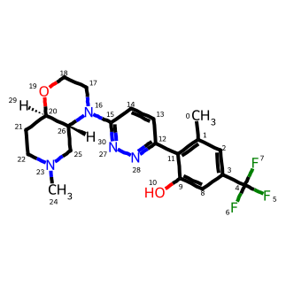 Cc1cc(C(F)(F)F)cc(O)c1-c1ccc(N2CCO[C@@H]3CCN(C)C[C@H]32)nn1